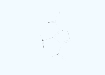 O=C(O)C1=CCC(C(=O)O)=C1C(=O)O